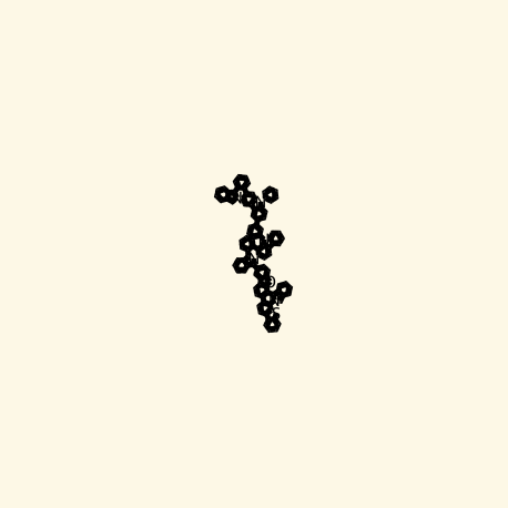 c1ccc(-n2c3ccc(-c4cccc(-n5c6ccccc6c6ccc7c(c8ccccc8c8c9ccccc9c(-c9ccc%10oc%11c(ccc%12c%13ccc%14c%15ccccc%15sc%14c%13n%13cc%14ccccc%14c%13c%12%11)c%10c9)n78)c65)c4)cc3c3cc4c(cc32)c2ccccc2c2c3ccccc3cn42)cc1